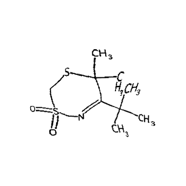 CC(C)(C)C1=NS(=O)(=O)CSC1(C)C